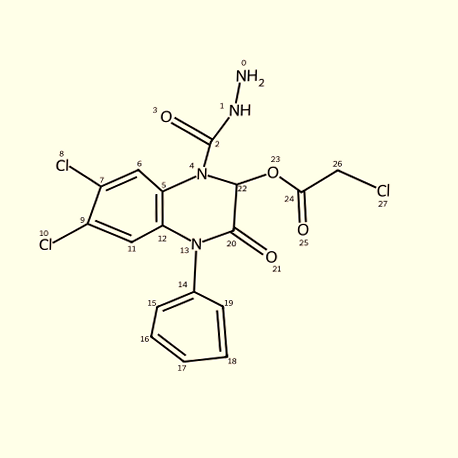 NNC(=O)N1c2cc(Cl)c(Cl)cc2N(c2ccccc2)C(=O)C1OC(=O)CCl